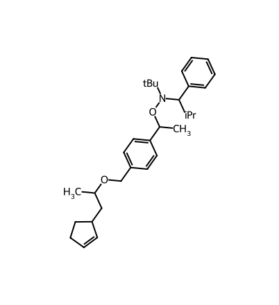 CC(CC1C=CCC1)OCc1ccc(C(C)ON(C(c2ccccc2)C(C)C)C(C)(C)C)cc1